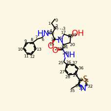 CC[C@H](C)[C@H](NCCc1ccccc1)C(=O)N1C[C@H](O)C[C@H]1C(=O)NCc1ccc(-c2scnc2C)cc1